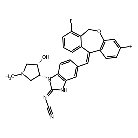 CN1C[C@@H](n2c(=NC#N)[nH]c3cc(C=C4c5ccc(F)cc5OCc5c(F)cccc54)ccc32)[C@@H](O)C1